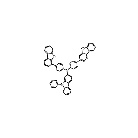 c1ccc(-n2c3ccccc3c3ccc(N(c4ccc(-c5ccc6c(c5)oc5ccccc56)cc4)c4ccc(-c5cccc6c5oc5ccccc56)cc4)cc32)cc1